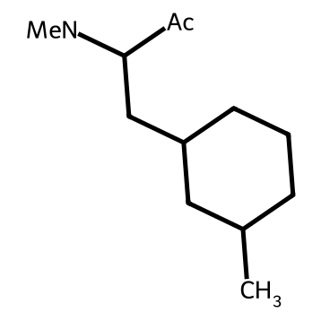 CNC(CC1CCCC(C)C1)C(C)=O